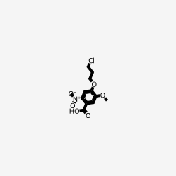 COc1cc(C(=O)O)c([N+](=O)[O-])cc1OCCCCl